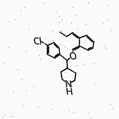 CC/C=c1/cccc/c1=C\OC(c1ccc(Cl)cc1)C1CCNCC1